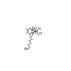 CC(C)CCCCCCCC1(C(=O)O)CC=CCC1(C(=O)O)C(C)C